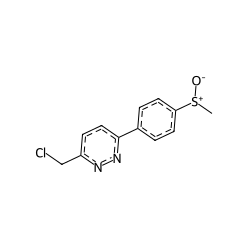 C[S+]([O-])c1ccc(-c2ccc(CCl)nn2)cc1